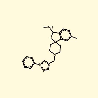 CNC1OC2(CCN(Cc3cnn(-c4ccccc4)c3)CC2)c2cc(C)ccc21